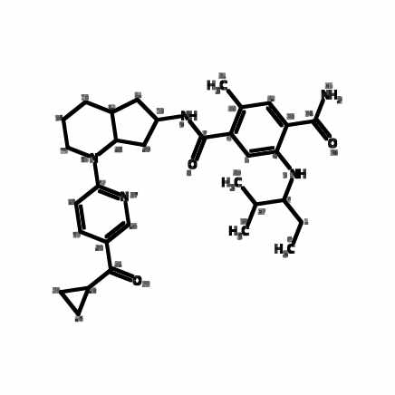 CCC(Nc1cc(C(=O)NC2CC3CCCN(c4ccc(C(=O)C5CC5)cn4)C3C2)c(C)cc1C(N)=O)C(C)C